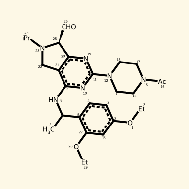 CCOc1ccc(C(C)Nc2nc(N3CCN(C(C)=O)CC3)nc3c2CN(C(C)C)[C@H]3C=O)c(OCC)c1